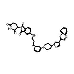 O=C1CCC(N2C(=O)c3ccc(NCCCc4cccc(N5CCC(n6cc(-c7cnc8ccccc8n7)cn6)CC5)c4)cc3C2=O)C(=O)N1